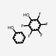 Oc1c(F)c(F)c(F)c(F)c1F.Oc1ccccc1